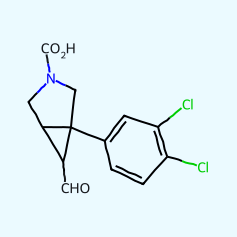 O=CC1C2CN(C(=O)O)CC12c1ccc(Cl)c(Cl)c1